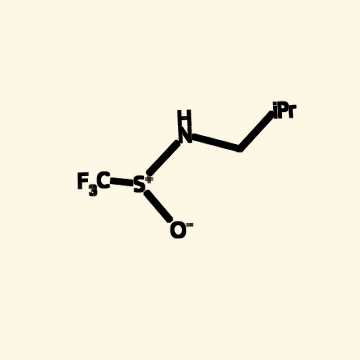 CC(C)CN[S+]([O-])C(F)(F)F